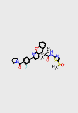 C[S+]([O-])c1cnc(NC(=O)C(C)(C)[C@H]2c3ccccc3Oc3nc(-c4ccc(C(=O)N5CCCC5)c(F)c4)ccc32)s1